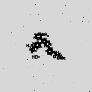 COC(C)(C)C(=O)Nc1cccc(-c2ccc3nc(-c4cccnc4N)n(-c4ccc(C5(N)CCC5)cc4)c3n2)c1.Cl